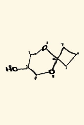 OC1COC2(CCC2)OC1